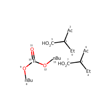 CCC(C(C)=O)C(=O)O.CCC(C(C)=O)C(=O)O.CCCC[O][Ti](=[O])[O]CCCC